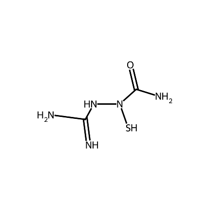 N=C(N)NN(S)C(N)=O